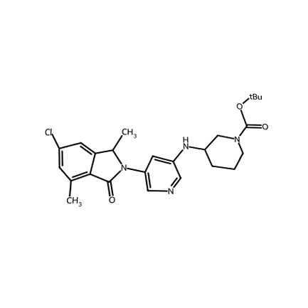 Cc1cc(Cl)cc2c1C(=O)N(c1cncc(NC3CCCN(C(=O)OC(C)(C)C)C3)c1)C2C